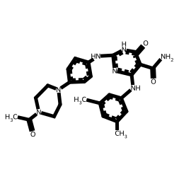 CC(=O)N1CCN(c2ccc(Nc3nc(Nc4cc(C)cc(C)c4)c(C(N)=O)c(=O)[nH]3)cc2)CC1